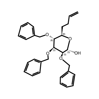 C=CCC[C@H]1O[C@H](O)[C@@H](OCc2ccccc2)[C@@H](OCc2ccccc2)[C@@H]1OCc1ccccc1